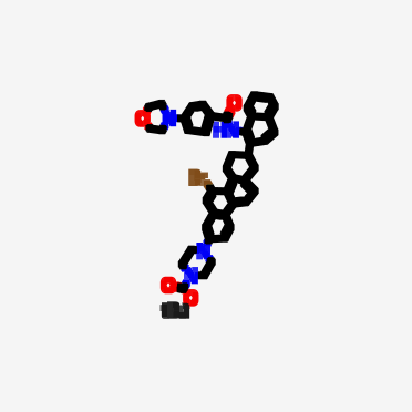 CC(C)(C)OC(=O)N1CCN(c2ccc3c(c2)cc(Br)c2c4c(ccc23)CC(c2ccc3ccccc3c2NC(=O)c2ccc(N3CCOCC3)cc2)CC4)CC1